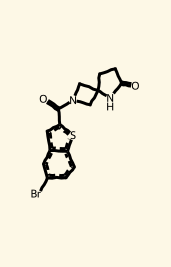 O=C1CCC2(CN(C(=O)c3cc4cc(Br)ccc4s3)C2)N1